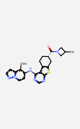 COc1c(Nc2ncnc3sc4c(c23)CC[C@H](C(=O)N2CC(C#N)C2)C4)ccn2nccc12